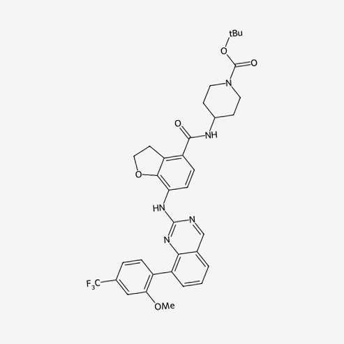 COc1cc(C(F)(F)F)ccc1-c1cccc2cnc(Nc3ccc(C(=O)NC4CCN(C(=O)OC(C)(C)C)CC4)c4c3OCC4)nc12